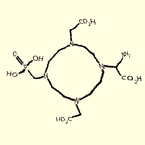 NC(C(=O)O)N1CCN(CC(=O)O)CCN(CP(=O)(O)O)CCN(CC(=O)O)CC1